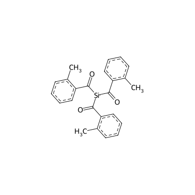 Cc1ccccc1C(=O)[Si](C(=O)c1ccccc1C)C(=O)c1ccccc1C